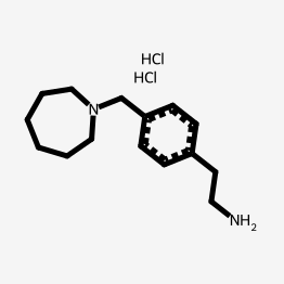 Cl.Cl.NCCc1ccc(CN2CCCCCC2)cc1